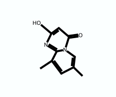 Cc1cc(C)c2nc(O)cc(=O)n2c1